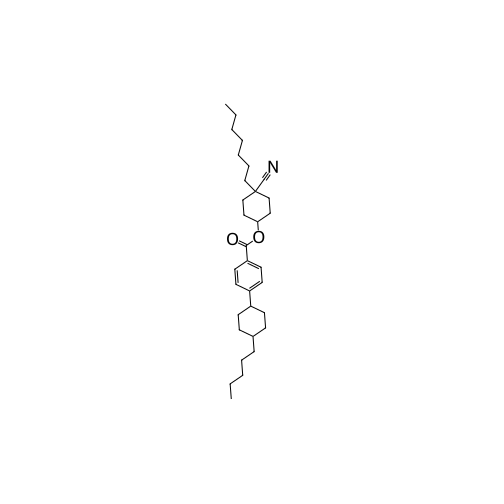 CCCCCCCC1(C#N)CCC(OC(=O)c2ccc(C3CCC(CCCCC)CC3)cc2)CC1